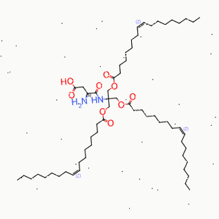 CCCCCCCC/C=C\CCCCCCCC(=O)OCC(COC(=O)CCCCCCC/C=C\CCCCCCCC)(COC(=O)CCCCCCC/C=C\CCCCCCCC)NC(=O)[C@@H](N)CC(=O)O